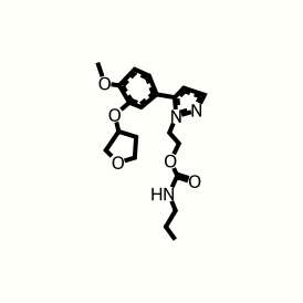 CCCNC(=O)OCCn1nccc1-c1ccc(OC)c(OC2CCOC2)c1